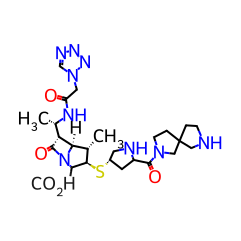 C[C@H]1[C@@H]2[C@@H]([C@H](C)NC(=O)Cn3cnnn3)C(=O)N2C(C(=O)O)[C@@H]1S[C@@H]1CNC(C(=O)N2CCC3(CCNC3)C2)C1